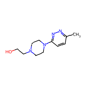 Cc1ccc(N2CCN(CCO)CC2)nn1